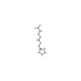 CC(C)OCCOCCN1CCCC1